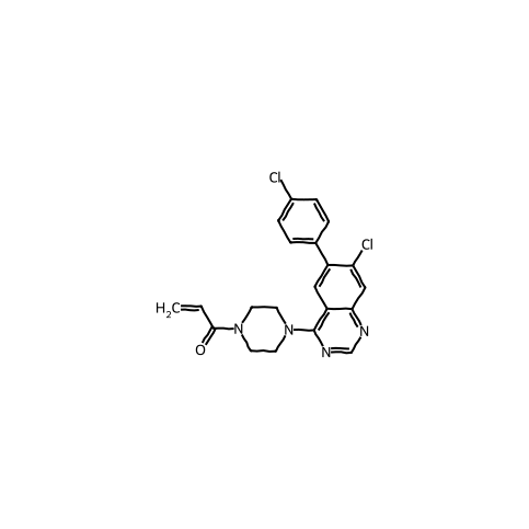 C=CC(=O)N1CCN(c2ncnc3cc(Cl)c(-c4ccc(Cl)cc4)cc23)CC1